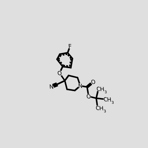 CC(C)(C)OC(=O)N1CCC(C#N)(Oc2ccc(F)cc2)CC1